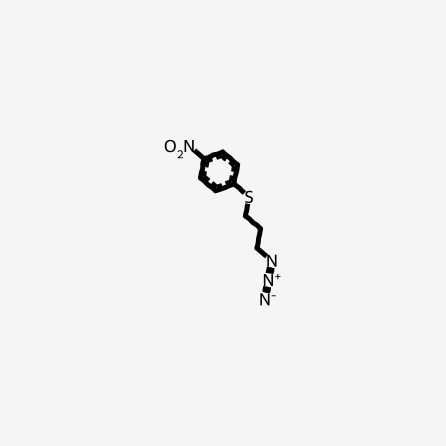 [N-]=[N+]=NCCCSc1ccc([N+](=O)[O-])cc1